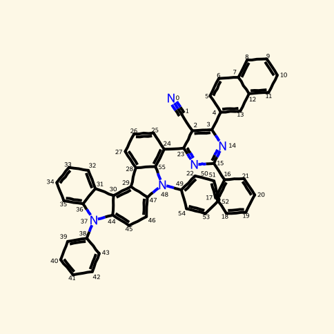 N#Cc1c(-c2ccc3ccccc3c2)nc(-c2ccccc2)nc1-c1cccc2c3c4c5ccccc5n(-c5ccccc5)c4ccc3n(-c3ccccc3)c12